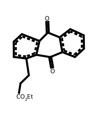 CCOC(=O)CCc1cccc2c1C(=O)c1ccccc1C2=O